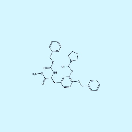 COC(=O)[C@H](Cc1ccc(OCc2ccccc2)c(OC(=O)N2CCCC2)c1)NC(=O)OCc1ccccc1